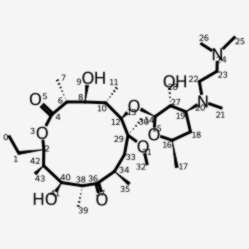 CC[C@H]1OC(=O)[C@H](C)[C@@H](O)[C@H](C)[C@@H](O[C@@H]2O[C@H](C)C[C@H](N(C)CCN(C)C)[C@H]2O)[C@@](C)(OC)C[C@@H](C)C(=O)[C@H](C)[C@@H](O)[C@H]1C